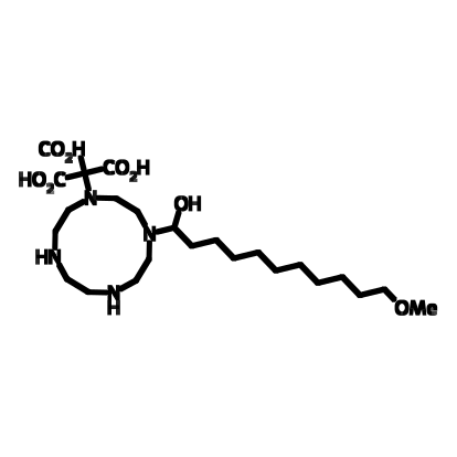 COCCCCCCCCCCC(O)N1CCNCCNCCN(C(C(=O)O)(C(=O)O)C(=O)O)CC1